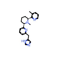 Cc1cccnc1[C@@H]1CCC[C@H](c2cccc(Cc3cnc[nH]3)n2)N1C